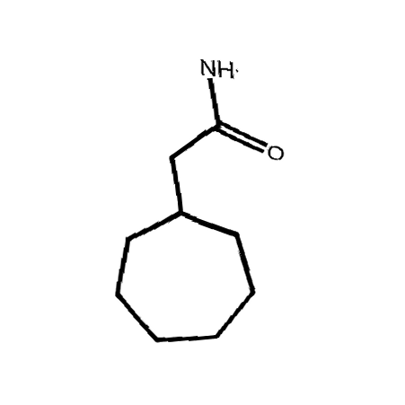 [NH]C(=O)CC1CCCCCC1